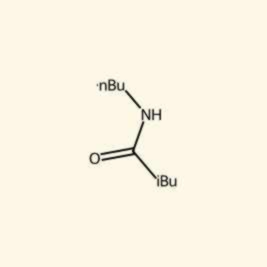 CCC[CH]NC(=O)C(C)CC